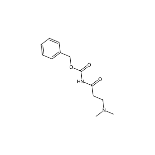 CN(C)CCC(=O)NC(=O)OCc1ccccc1